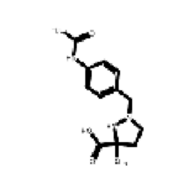 CC(=O)Nc1ccc(CN2CCC(C)(C(=O)O)N2)cc1